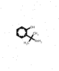 CC(C)([AsH2])c1ccccc1O